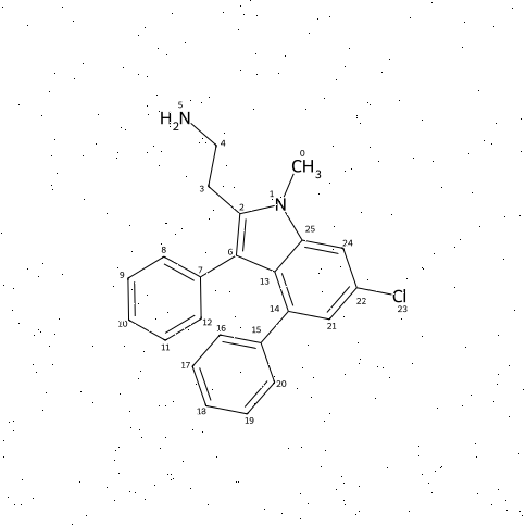 Cn1c(CCN)c(-c2ccccc2)c2c(-c3ccccc3)cc(Cl)cc21